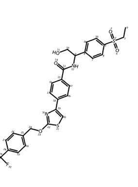 CCS(=O)(=O)c1ccc(C(CO)NC(=O)c2ccc(-c3csc(OCc4ccc(C(F)(F)F)cc4)n3)cc2)cc1